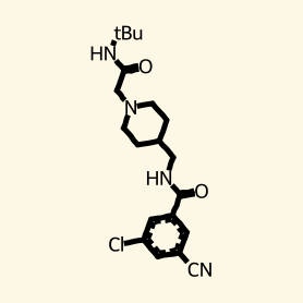 CC(C)(C)NC(=O)CN1CCC(CNC(=O)c2cc(Cl)cc(C#N)c2)CC1